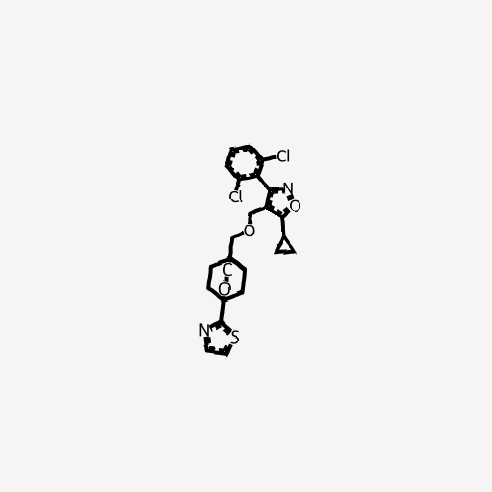 Clc1cccc(Cl)c1-c1noc(C2CC2)c1COCC12CCC(c3nccs3)(CC1)OC2